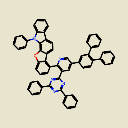 c1ccc(-c2nc(-c3ccccc3)nc(-c3cc(-c4ccc(-c5ccccc5)c(-c5ccccc5)c4)cnc3-c3cccc4oc5c(ccc6c7ccccc7n(-c7ccccc7)c65)c34)n2)cc1